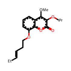 CCC=CCCOc1cccc2c(OC)c(OC(C)C)c(=O)oc12